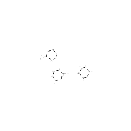 Brc1ccccc1Oc1cccc(OCc2ccccc2)c1